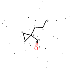 CC[CH]C1(C=O)CC1